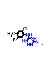 Cc1cc(Cl)c(NC(=N)NC(=N)N)cc1Br